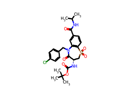 CC(C)NC(=O)c1ccc2c(c1)N(Cc1ccc(Cl)cc1)C(=O)[C@@H](NC(=O)OC(C)(C)C)CS2(=O)=O